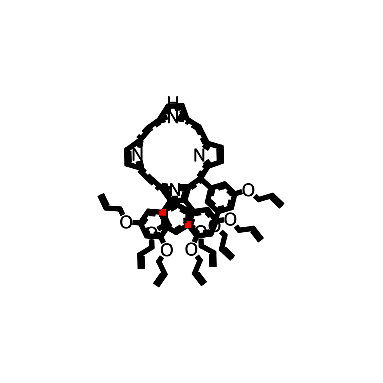 C=CCOc1cc(OCC=C)cc(-c2c(-c3cc(OCC=C)cc(OCC=C)c3)c3c(-c4cc(OCC=C)cc(OCC=C)c4)c4nc(cc5ccc(cc6nc(cc2n3-c2cc(OCC=C)cc(OCC=C)c2)C=C6)[nH]5)C=C4)c1